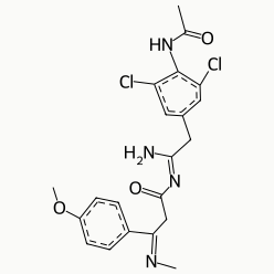 C/N=C(\CC(=O)/N=C(\N)Cc1cc(Cl)c(NC(C)=O)c(Cl)c1)c1ccc(OC)cc1